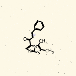 Cc1sc2ncc(C(=O)/C=C/c3ccccc3)n2c1C